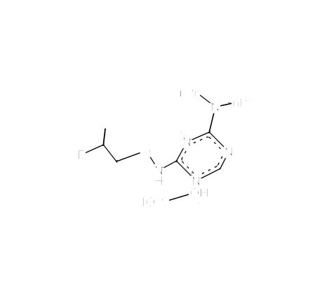 CCCN(CCC)c1ncnc(NOCC(F)F)n1.O=S(=O)(O)O